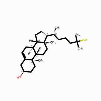 C[C@H](CCCC(C)(C)S)[C@H]1CC[C@H]2[C@@H]3CC=C4C[C@@H](O)CC[C@]4(C)[C@H]3CC[C@]12C